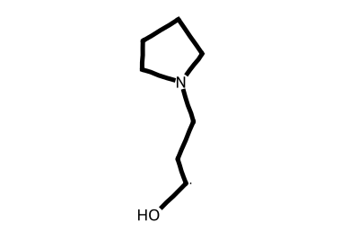 O[CH]CCN1CCCC1